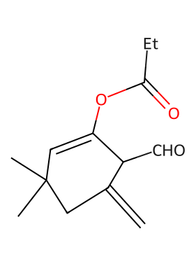 C=C1CC(C)(C)C=C(OC(=O)CC)C1C=O